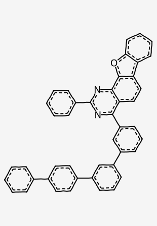 c1ccc(-c2ccc(-c3cccc(-c4cccc(-c5nc(-c6ccccc6)nc6c5ccc5c7ccccc7oc56)c4)c3)cc2)cc1